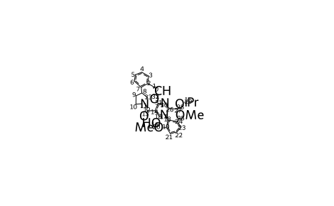 C#Cc1ccccc1C1CCN(C(=O)c2c(O)n(-c3c(OC)cccc3OC)c(COC(C)C)nc2=O)C1